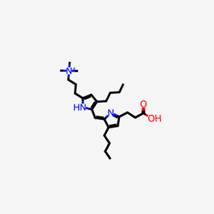 CCCCC1=CC(CCC(=O)O)=N/C1=C\c1[nH]c(CCC[N+](C)(C)C)cc1CCCC